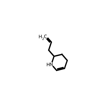 C=CCC1[CH]CC=CN1